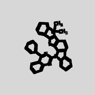 C[Si]1(C)c2ccccc2-c2sc3c(ccc4c5ccccc5n(-c5nc(-c6ccccc6)c6ccccc6n5)c43)c21